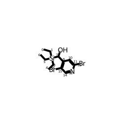 CC[Si](CC)(CC)C(O)c1cc(Br)ncc1Br